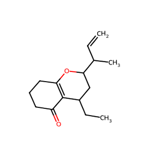 C=CC(C)C1CC(CC)C2=C(CCCC2=O)O1